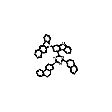 c1ccc2c(c1)CCc1cc(-c3nc(-c4ccc5ccccc5c4)nc(-c4cc(-n5c6ccccc6c6cc7ccccc7cc65)cc5oc6ccccc6c45)n3)ccc1-2